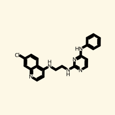 Clc1ccc2c(NCCNc3nccc(Nc4ccccc4)n3)ccnc2c1